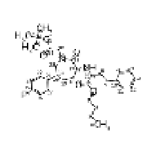 CCCCOC(=O)[C@H](CCc1ccccc1)N[C@@H]1CC[C@@H](c2ccc(F)cc2)CN(CC(=O)OC(C)(C)C)C1=O